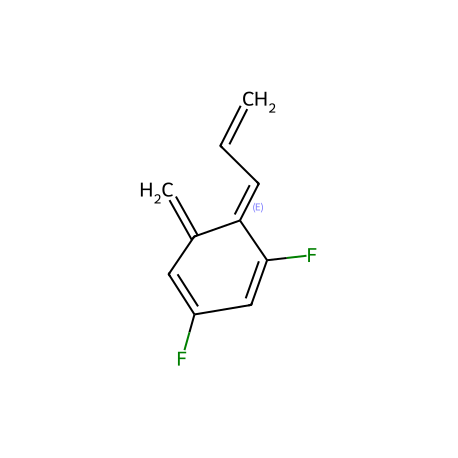 C=C/C=c1/c(F)cc(F)cc1=C